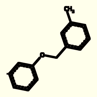 Cc1cccc(COc2c[c]ccc2)c1